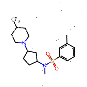 Cc1cccc(S(=O)(=O)N(C)C2CCC(N3CCC(C(F)(F)F)CC3)C2)c1